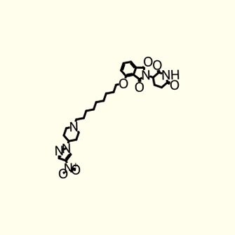 O=C1CCC(N2C(=O)c3cccc(OCCCCCCCCCN4CCC(n5cc([N+](=O)[O-])cn5)CC4)c3C2=O)C(=O)N1